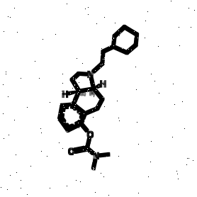 CN(C)C(=O)Oc1cccc2c1CC[C@@H]1[C@H]2CCN1CCC1CCCCC1